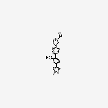 Cc1ncc(-c2ccc(-c3ccc(N4CCN(C5CCC5)C4)nn3)c(O)c2)s1